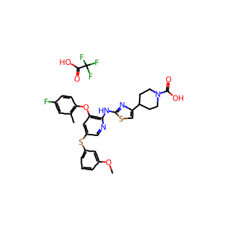 COc1cccc(Sc2cnc(Nc3nc(C4CCN(C(=O)O)CC4)cs3)c(Oc3ccc(F)cc3C)c2)c1.O=C(O)C(F)(F)F